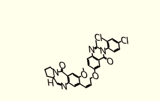 COc1cc2c(cc1/C=C\COc1ccc3nc(C)n(-c4ccc(Cl)cc4Cl)c(=O)c3c1)N=C[C@@H]1CCCN1C2=O